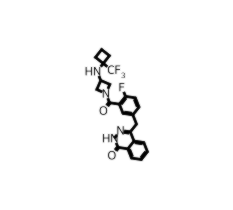 O=C(c1cc(Cc2n[nH]c(=O)c3ccccc23)ccc1F)N1CC(NC2(C(F)(F)F)CCC2)C1